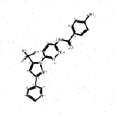 Bc1ccc(C(=O)Nc2ccc(-n3nc(-c4cccnc4)cc3C(F)(F)F)nn2)cc1